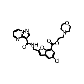 O=C(OCCN1CCOCC1)c1cc(Cl)cc2cc(CNC(=O)c3cnn4cccnc34)oc12